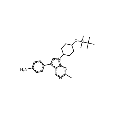 Cc1ncc2c(-c3ccc(N)cc3)cn(C3CCC(O[Si](C)(C)C(C)(C)C)CC3)c2n1